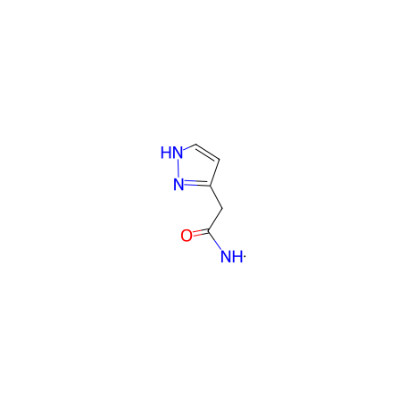 [NH]C(=O)Cc1cc[nH]n1